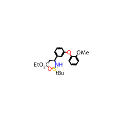 CCOC(=O)C[C@H](N[S@+]([O-])C(C)(C)C)c1cccc(Oc2ccccc2OC)c1